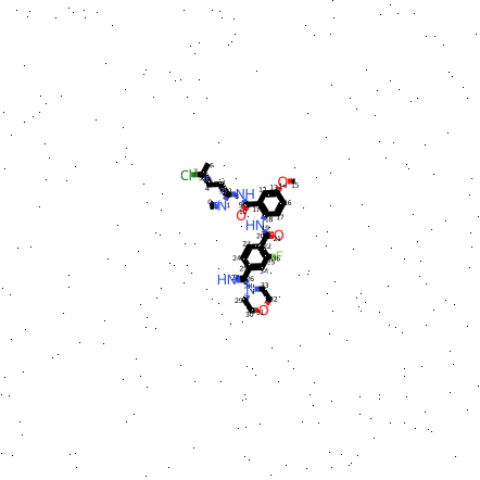 C=N/C(=C\C=C(/C)Cl)NC(=O)c1cc(OC)ccc1NC(=O)c1ccc(C(=N)N2CCOCC2)cc1F